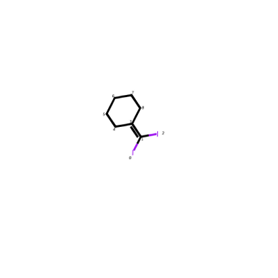 IC(I)=C1CCCCC1